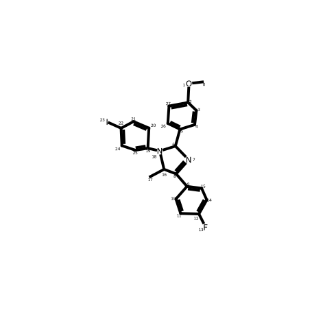 COc1ccc(C2N=C(c3ccc(F)cc3)C(C)N2c2ccc(I)cc2)cc1